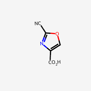 N#Cc1nc(C(=O)O)co1